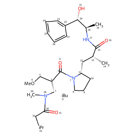 CC[C@H](C)[C@@H](C(COC)C(=O)N1CCC[C@H]1C[C@@H](C)C(=O)N[C@H](C)[C@@H](O)c1ccccc1)N(C)C(=O)CC(C)C